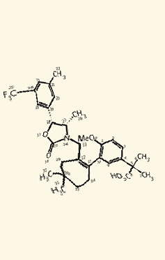 COc1ccc(C(C)(C)C(=O)O)cc1C1=C(CN2C(=O)O[C@H](c3cc(C)cc(C(F)(F)F)c3)[C@@H]2C)CC(C)(C)CC1